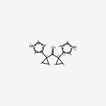 O=C(C1(c2c[nH]cn2)CC1)C1(c2c[nH]cn2)CC1